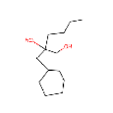 CCCCC(O)(CO)CC1CCCCC1